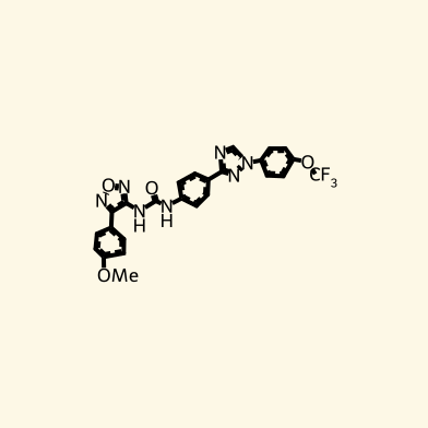 COc1ccc(-c2nonc2NC(=O)Nc2ccc(-c3ncn(-c4ccc(OC(F)(F)F)cc4)n3)cc2)cc1